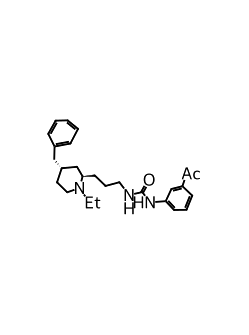 CCN1CC[C@H](Cc2ccccc2)C[C@H]1CCCNC(=O)Nc1cccc(C(C)=O)c1